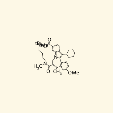 CNCCCCN(C)C(=O)C1=C(C)c2cc(OC)ccc2-c2c(C3CCCCC3)c3ccc(C(=O)OC(C)(C)C)cc3n2C1